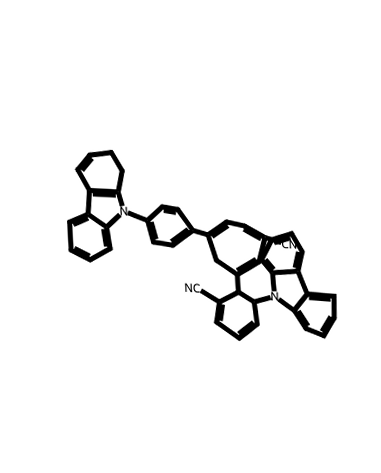 N#CC1=CC=C(c2ccc(-n3c4c(c5ccccc53)C=CCC4)cc2)CC(C2C(C#N)=CC=CC2n2c3ccccc3c3ccccc32)=C1